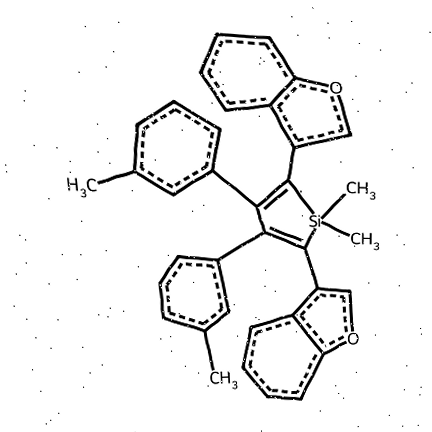 Cc1cccc(C2=C(c3coc4ccccc34)[Si](C)(C)C(c3coc4ccccc34)=C2c2cccc(C)c2)c1